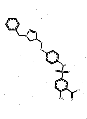 Cc1ccc(S(=O)(=O)Nc2ccc(OCC3CN(Cc4ccccc4)N=N3)cc2)cc1C(=O)O